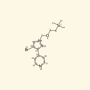 C[Si](C)(C)CCOCn1cc(Br)c(-c2ccncc2)n1